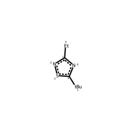 CCc1nsc(C(C)(C)C)n1